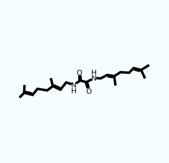 CC(C)=CCC/C(C)=C/CNC(=O)C(=O)NC/C=C(\C)CCC=C(C)C